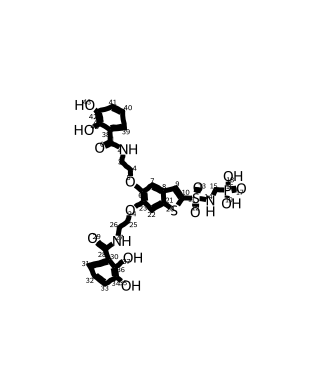 O=C(NCCOc1cc2cc(S(=O)(=O)NCP(=O)(O)O)sc2cc1OCCNC(=O)c1cccc(O)c1O)c1cccc(O)c1O